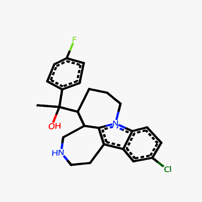 CC(O)(c1ccc(F)cc1)C1CCCn2c3c(c4cc(Cl)ccc42)CCNCC31